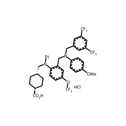 CCN(C[C@H]1CC[C@H](C(=O)O)CC1)c1ccc(OC(F)(F)F)cc1CN(Cc1cc(C(F)(F)F)cc(C(F)(F)F)c1)c1ccc(OC)cc1.Cl